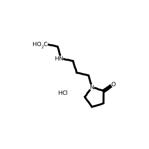 Cl.O=C(O)CNCCCN1CCCC1=O